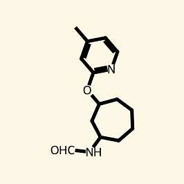 Cc1ccnc(OC2CCCCC(NC=O)C2)c1